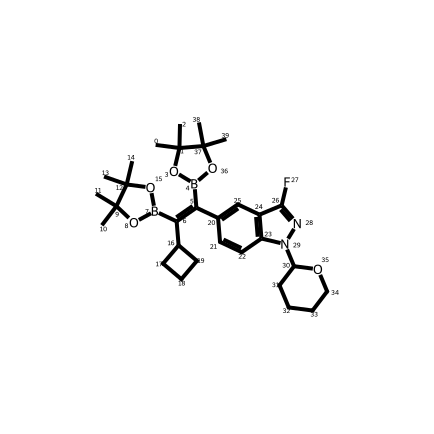 CC1(C)OB(C(=C(B2OC(C)(C)C(C)(C)O2)C2CCC2)c2ccc3c(c2)c(F)nn3C2CCCCO2)OC1(C)C